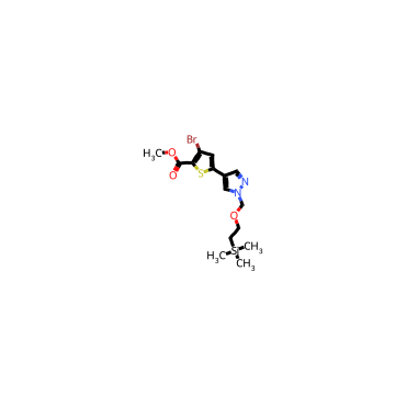 COC(=O)c1sc(-c2cnn(COCC[Si](C)(C)C)c2)cc1Br